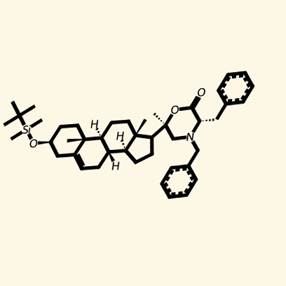 CC(C)(C)[Si](C)(C)O[C@H]1CC[C@@]2(C)C(=CC[C@@H]3[C@@H]2CC[C@]2(C)C([C@]4(C)CN(Cc5ccccc5)[C@@H](Cc5ccccc5)C(=O)O4)CC[C@@H]32)C1